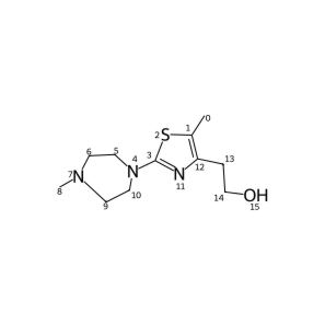 Cc1sc(N2CCN(C)CC2)nc1CCO